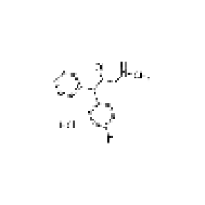 CNCC(O)C(c1ccccc1)c1ccc(F)cc1.Cl